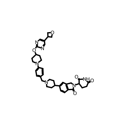 O=C1CCC(N2Cc3cc(C4CCN(Cc5ccc(N6CCC(Oc7ncc(C8COC8)cn7)CC6)cc5)CC4)ccc3C2=O)C(=O)N1